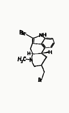 CN1CC(CBr)C[C@H]2c3cccc4[nH]c(Br)c(c34)C[C@@H]21